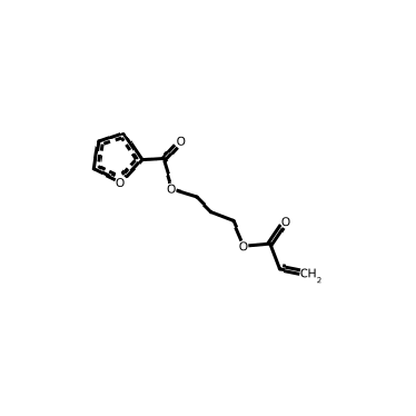 C=CC(=O)OCCCOC(=O)c1ccco1